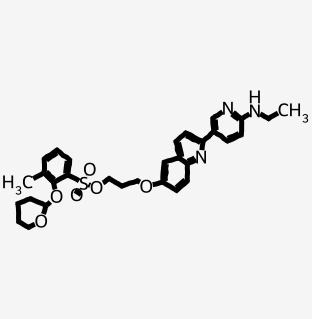 CCNc1ccc(-c2ccc3cc(OCCCOS(=O)(=O)c4cccc(C)c4OC4CCCCO4)ccc3n2)cn1